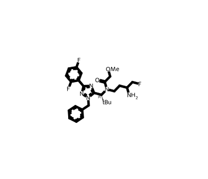 COCC(=O)N(CCC(N)CF)[C@@H](c1nc(-c2cc(F)ccc2F)nn1Cc1ccccc1)C(C)(C)C